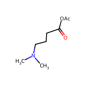 CC(=O)OC(=O)CCCN(C)C